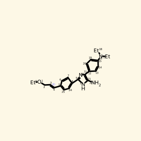 CCOC/C=C/c1ccc(-c2nc(-c3ccc(N(CC)CC)cc3)c(N)[nH]2)cc1